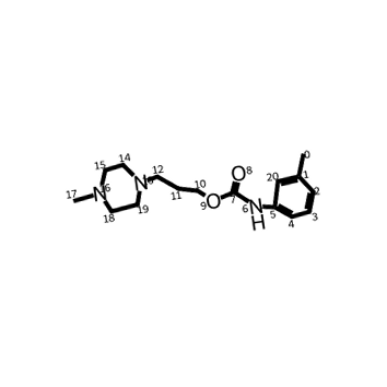 Cc1cccc(NC(=O)OCCCN2CCN(C)CC2)c1